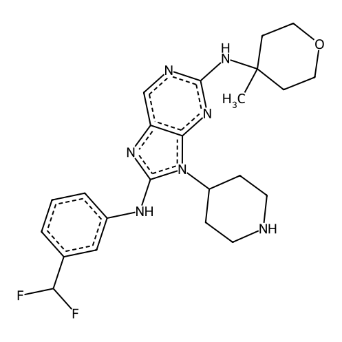 CC1(Nc2ncc3nc(Nc4cccc(C(F)F)c4)n(C4CCNCC4)c3n2)CCOCC1